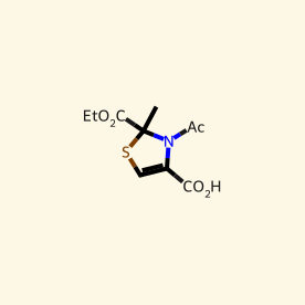 CCOC(=O)C1(C)SC=C(C(=O)O)N1C(C)=O